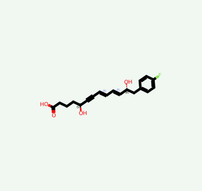 O=C(O)CCC[C@H](O)C#C/C=C/C=C/[C@H](O)Cc1ccc(F)cc1